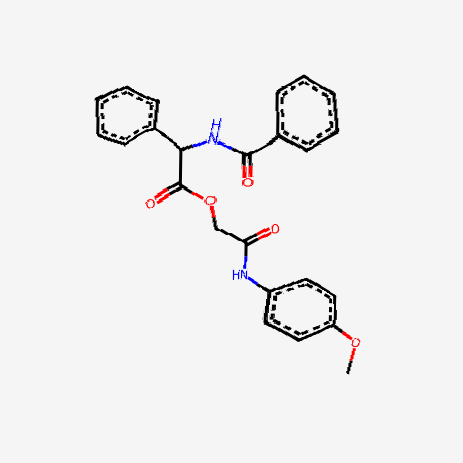 COc1ccc(NC(=O)COC(=O)C(NC(=O)c2ccccc2)c2ccccc2)cc1